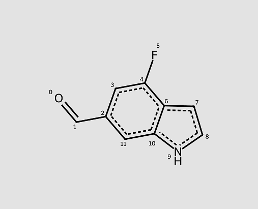 O=Cc1cc(F)c2cc[nH]c2c1